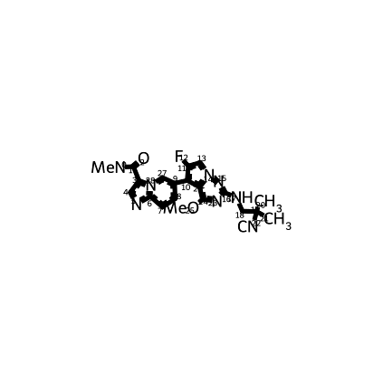 CNC(=O)c1cnc2ccc(-c3c(F)cn4nc(NCC(C)(C)C#N)nc(OC)c34)cn12